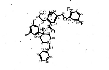 Cc1cc(C)cc(C2(NC(=O)c3cc(COc4cc(F)ccc4F)ccc3CCC(=O)O)CCN(Cc3ccccc3)CC2)c1